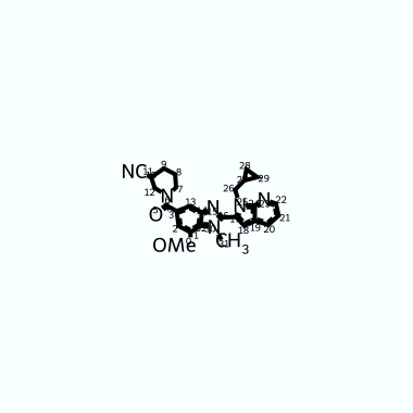 COc1cc(C(=O)N2CCCC(C#N)C2)cc2nc(-c3cc4cccnc4n3CC3CC3)n(C)c12